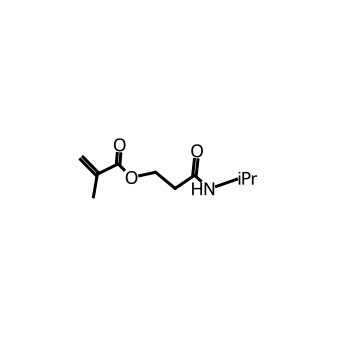 C=C(C)C(=O)OCCC(=O)NC(C)C